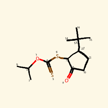 CC(C)OC(=S)SC1C(=O)CCC1C(C)(C)C